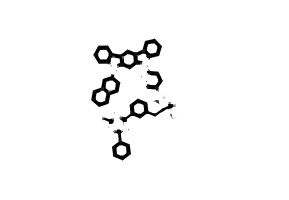 CC1(C)OB(c2ccc(-n3c4ccccc4c4cc5c6ccccc6n(-c6ccc7ccccc7c6)c5cc43)nc2)OC1(C)Cc1cccc(-c2nc(Cl)nc(-c3ccccc3)n2)c1